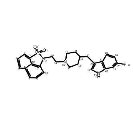 O=S1(=O)c2cccc3cccc(c23)N1CCN1CCC(Cc2c[nH]c3cc(F)ccc23)CC1